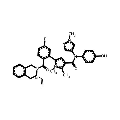 Cc1c(C(=O)N(c2ccc(O)cc2)c2cnn(C)c2)cc(-c2cc(F)ccc2C(=O)N2Cc3ccccc3C[C@H]2CF)n1C